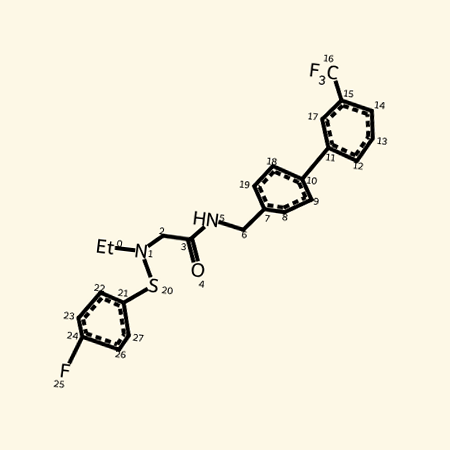 CCN(CC(=O)NCc1ccc(-c2cccc(C(F)(F)F)c2)cc1)Sc1ccc(F)cc1